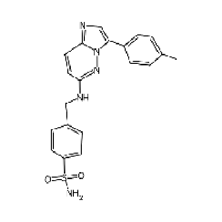 Cc1ccc(-c2cnc3ccc(NCc4ccc(S(N)(=O)=O)cc4)nn23)cc1